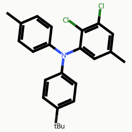 Cc1ccc(N(c2ccc(C(C)(C)C)cc2)c2cc(C)cc(Cl)c2Cl)cc1